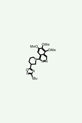 COc1cc2c(N3CCCC(c4nc(C(C)(C)C)no4)C3)nncc2c(OC)c1OC